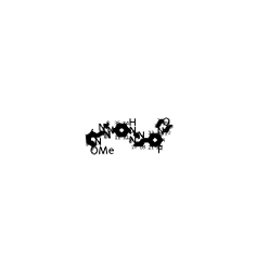 COc1cccc(-c2ncn(-c3ccc(Nc4nccc(-c5cc(F)cc(N6CCOCC6)c5)n4)cc3)n2)n1